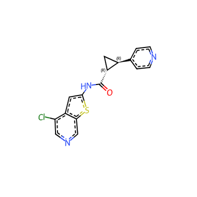 O=C(Nc1cc2c(Cl)cncc2s1)[C@@H]1C[C@H]1c1ccncc1